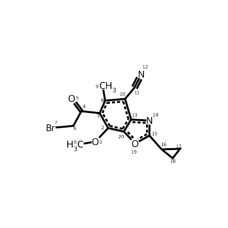 COc1c(C(=O)CBr)c(C)c(C#N)c2nc(C3CC3)oc12